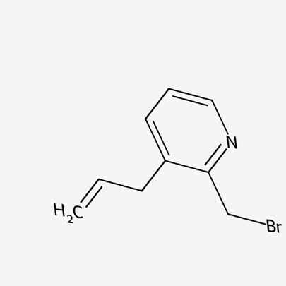 C=CCc1cccnc1CBr